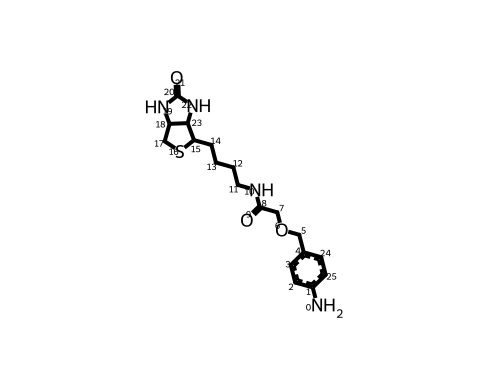 Nc1ccc(COCC(=O)NCCCCC2SCC3NC(=O)NC32)cc1